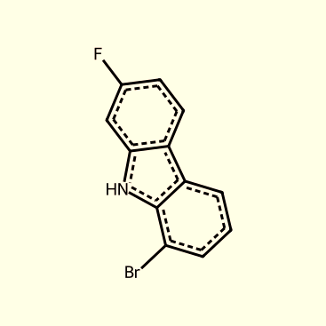 Fc1ccc2c(c1)[nH]c1c(Br)cccc12